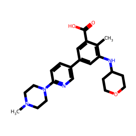 Cc1c(NC2CCOCC2)cc(-c2ccc(N3CCN(C)CC3)nc2)cc1C(=O)O